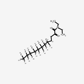 CCN(CC)C(=O)C(=O)CCC(F)(F)C(F)(F)C(F)(F)C(F)(F)C(F)(F)C(F)(F)C(F)(F)C(F)(F)F